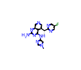 C[C@@H](c1ncc(F)cn1)c1cncc2nc(N)nc(Nc3cn(C)cn3)c12